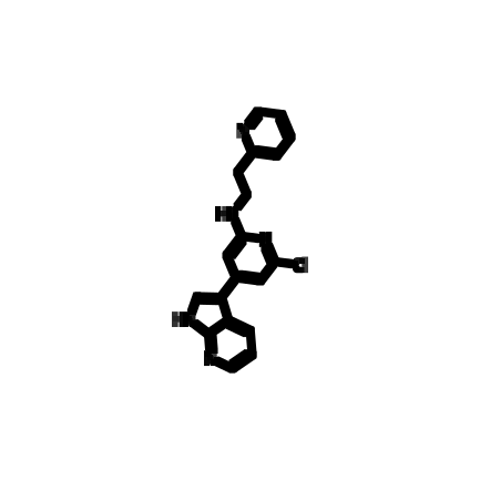 Clc1cc(-c2c[nH]c3ncccc23)cc(NCCc2ccccn2)n1